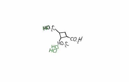 Cl.Cl.Cl.O=C(O)C1CC(C(=O)O)C1C(=O)O